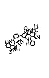 CC(C)n1cncc1C1c2n[nH]c(=O)c3cc(-c4cccc(C5Nc6cccc7c(=O)[nH]nc(c67)C5c5cncs5)c4)cc(c23)NC1c1ccccc1